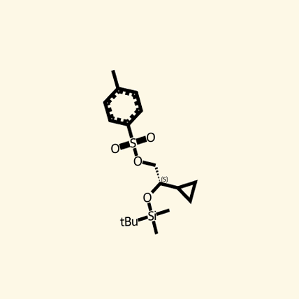 Cc1ccc(S(=O)(=O)OC[C@@H](O[Si](C)(C)C(C)(C)C)C2CC2)cc1